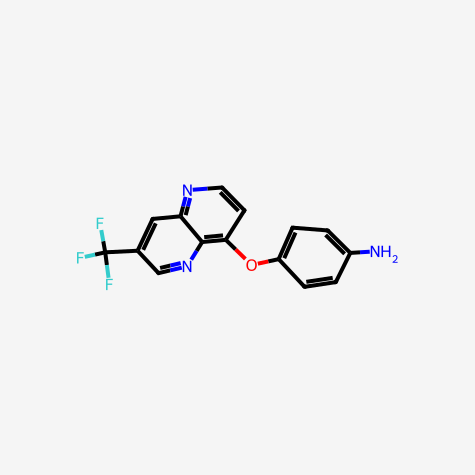 Nc1ccc(Oc2ccnc3cc(C(F)(F)F)cnc23)cc1